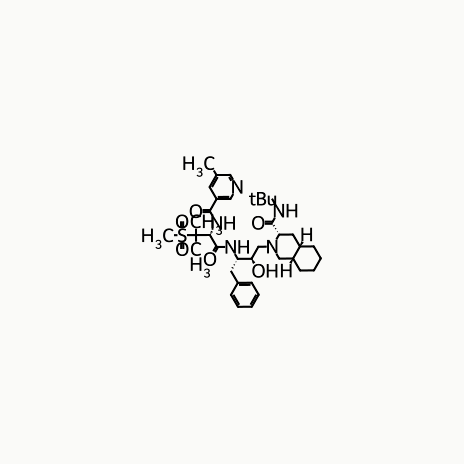 Cc1cncc(C(=O)N[C@H](C(=O)N[C@@H](Cc2ccccc2)[C@H](O)CN2C[C@H]3CCCC[C@H]3C[C@H]2C(=O)NC(C)(C)C)C(C)(C)S(C)(=O)=O)c1